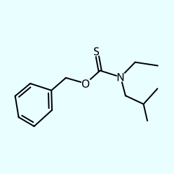 CCN(CC(C)C)C(=S)OCc1ccccc1